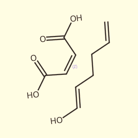 C=CCCC=CO.O=C(O)/C=C\C(=O)O